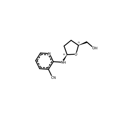 N#Cc1cccnc1N[C@H]1CC[C@@H](CO)O1